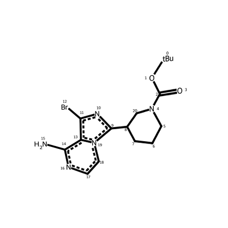 CC(C)(C)OC(=O)N1CCCC(c2nc(Br)c3c(N)nccn23)C1